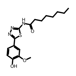 CCCCCCCC(=O)Nc1nnc(-c2ccc(O)c(OC)c2)s1